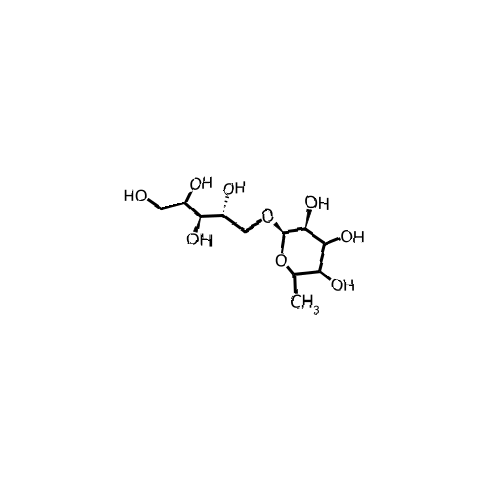 CC1O[C@@H](OC[C@@H](O)[C@@H](O)C(O)CO)[C@@H](O)C(O)C1O